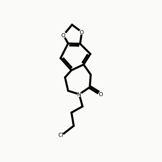 O=C1Cc2cc3c(cc2CCN1CCCCl)OCO3